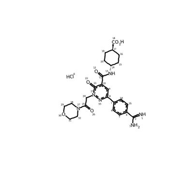 Cl.N=C(N)c1ccc(-c2cc(C(=O)N[C@H]3CC[C@H](C(=O)O)CC3)c(=O)n(CC(=O)N3CCOCC3)n2)cc1